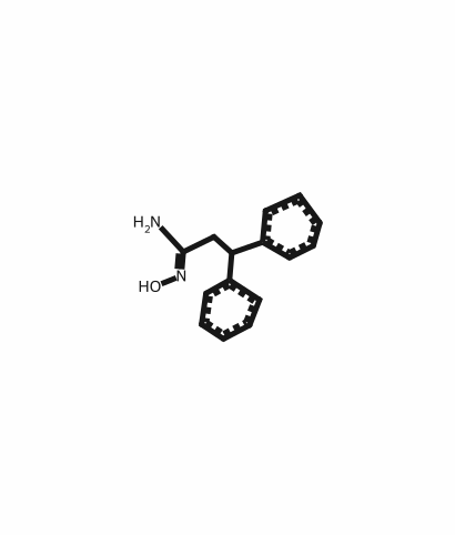 NC(CC(c1ccccc1)c1ccccc1)=NO